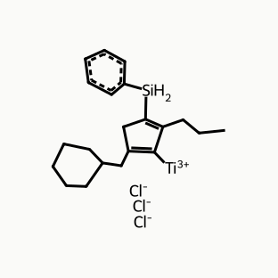 CCCC1=C([SiH2]c2ccccc2)CC(CC2CCCCC2)=[C]1[Ti+3].[Cl-].[Cl-].[Cl-]